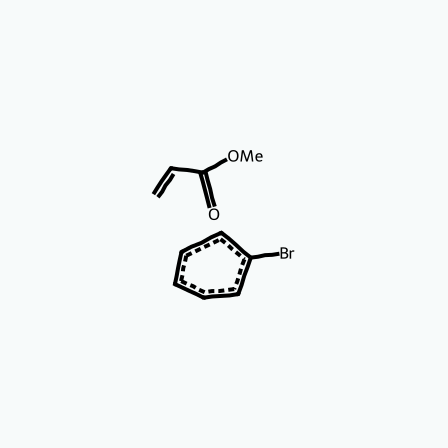 Brc1ccccc1.C=CC(=O)OC